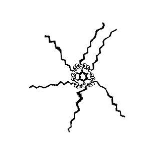 CCCCCCCCCCCS(=O)(=O)c1c(S(=O)(=O)CCCCCCCCCCC)c(S(=O)(=O)CCCCCCCCCCC)c(S(=O)(=O)CCCCCCCCCCC)c(S(=O)(=O)CCCCCCCCCCC)c1S(=O)(=O)CCCCCCCCCCC